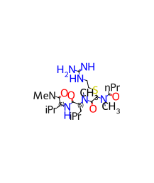 CCCC(=O)N(C)C(SCCNC(=N)N)C(=O)N(C)[C@@H](CC(C)C)C(=O)N[C@H](C(=O)NC)C(C)C